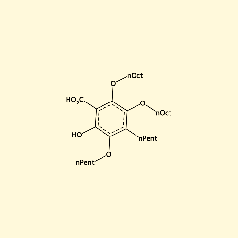 CCCCCCCCOc1c(CCCCC)c(OCCCCC)c(O)c(C(=O)O)c1OCCCCCCCC